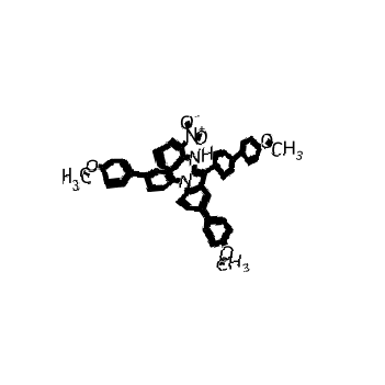 COc1ccc(-c2ccc(-c3c(Nc4ccccc4[N+](=O)[O-])n(-c4ccc(-c5ccc(OC)cc5)cc4)c4ccc(-c5ccc(OC)cc5)cc34)cc2)cc1